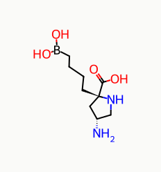 N[C@H]1CN[C@@](CCCCB(O)O)(C(=O)O)C1